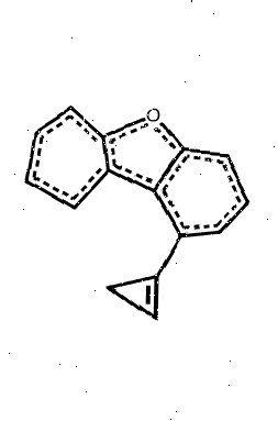 C1=C(c2cccc3oc4ccccc4c23)C1